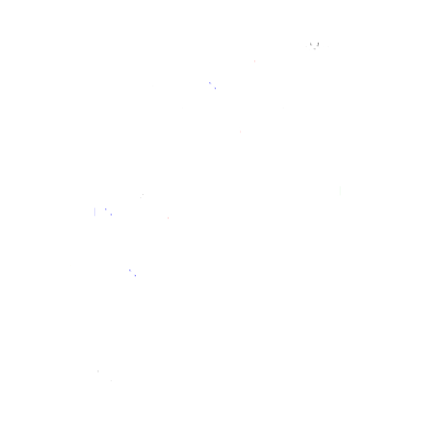 COc1ccc(Cl)cc1S(=O)(=O)N1CCc2ccc(C(=O)Nc3nc(CC(=O)O)cs3)cc21